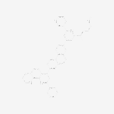 C=N/C=C\C=C(/C)c1cc(-c2ccc3c(ccc4cc(-c5cc(-c6ccccc6)nc6c5ccc5cccnc56)ccc43)c2)cc(-c2cccnc2)n1